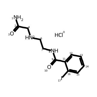 Cl.NC(=O)CNCCNC(=O)c1ccccc1I